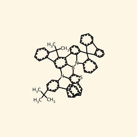 CC(C)(C)c1ccc(N2c3cc4c(c5c3B(c3sc6ccccc6c32)N2c3ccccc3C3(c6ccccc6-c6ccccc63)c3cccc-5c32)C(C)(C)c2ccccc2-4)c(-c2ccccc2)c1